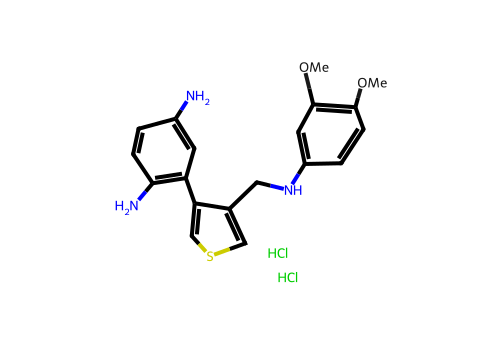 COc1ccc(NCc2cscc2-c2cc(N)ccc2N)cc1OC.Cl.Cl